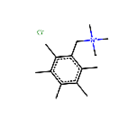 Cc1c(C)c(C)c(C[N+](C)(C)C)c(C)c1C.[Cl-]